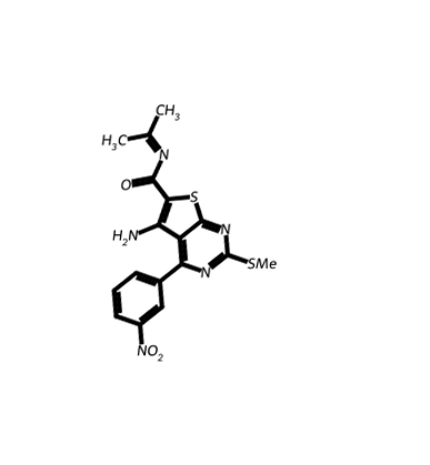 CSc1nc(-c2cccc([N+](=O)[O-])c2)c2c(N)c(C(=O)N=C(C)C)sc2n1